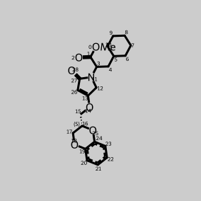 COC(=O)C(CC1CCCCC1)N1CC(OC[C@H]2COc3ccccc3O2)=CC1=O